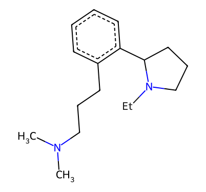 CCN1CCCC1c1ccccc1CCCN(C)C